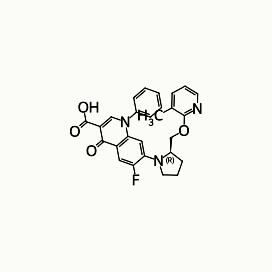 Cc1cccnc1OC[C@H]1CCCN1c1cc2c(cc1F)c(=O)c(C(=O)O)cn2-c1ccccc1